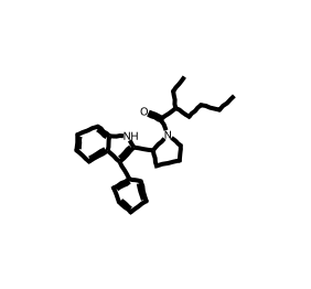 CCCCC(CC)C(=O)N1CCCC1c1[nH]c2ccccc2c1-c1ccccc1